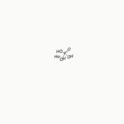 O=P(O)(O)O.[Ho]